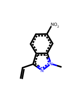 C=Cc1nn(C)c2cc([N+](=O)[O-])ccc12